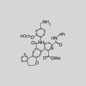 CCCCCCCCOc1cc(CN)ccc1NC(=O)c1cc2c(cc1-c1ccc(C(=O)NCCC)nc1C(=O)OC)OCCc1ccsc1-2